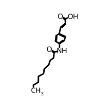 CCCCCCCCCC(=O)Nc1ccc(/C=C/C(=O)O)cc1